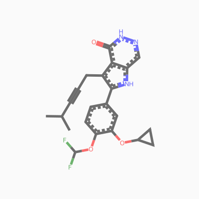 CC(C)C#CCc1c(-c2ccc(OC(F)F)c(OC3CC3)c2)[nH]c2cn[nH]c(=O)c12